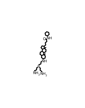 CC12CCC3C(CCC4CC(NCCCN(CCCN)CCCN)CCC43C)C1CCC2CCCC(=O)NC1CCCCC1